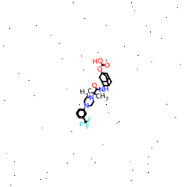 CC(C)(C(=O)NC1C2CC3CC1CC(OC(=O)O)(C3)C2)N1CCN(c2cccc(C(F)(F)F)c2)CC1